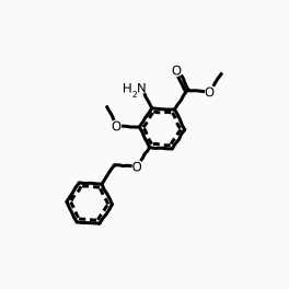 COC(=O)c1ccc(OCc2ccccc2)c(OC)c1N